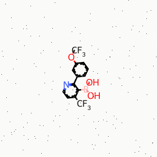 OB(O)c1c(C(F)(F)F)ccnc1-c1cccc(OC(F)(F)F)c1